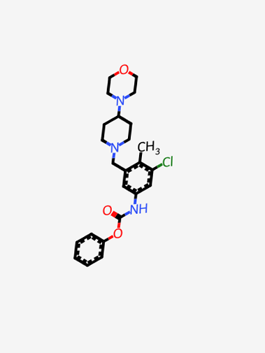 Cc1c(Cl)cc(NC(=O)Oc2ccccc2)cc1CN1CCC(N2CCOCC2)CC1